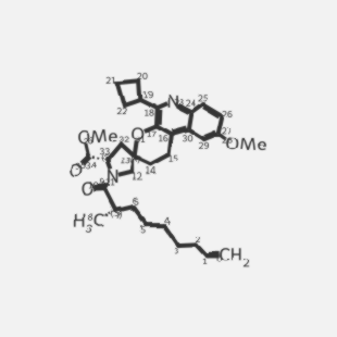 C=CCCCCC[C@H](C)C(=O)N1C[C@@]2(CCc3c(c(C4CCC4)nc4ccc(OC)cc34)O2)C[C@H]1C(=O)OC